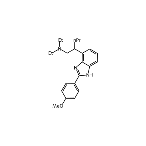 CCCC(CN(CC)CC)c1cccc2[nH]c(-c3ccc(OC)cc3)nc12